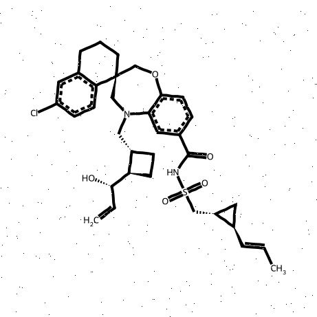 C=C[C@H](O)[C@@H]1CC[C@H]1CN1C[C@@]2(CCCc3cc(Cl)ccc32)COc2ccc(C(=O)NS(=O)(=O)C[C@@H]3C[C@H]3/C=C/C)cc21